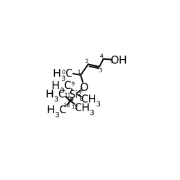 CC(/C=C/CO)O[Si](C)(C)C(C)(C)C